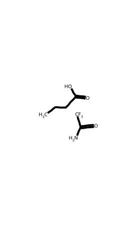 CCCC(=O)O.NC(=O)C(F)(F)F